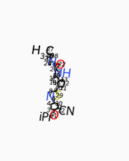 CC(C)Oc1ccc(-c2ncc(-c3cccc4c3CC[C@@H]4NCC(=O)N3CC[C@H](C)C3)s2)cc1C#N